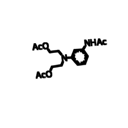 CC(=O)Nc1cccc(N(CCOC(C)=O)CCOC(C)=O)c1